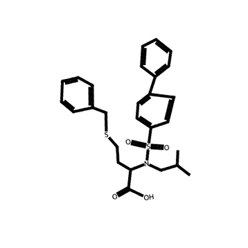 CC(C)CN(C(CCSCc1ccccc1)C(=O)O)S(=O)(=O)c1ccc(-c2ccccc2)cc1